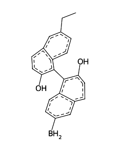 Bc1ccc2c(-c3c(O)ccc4cc(CC)ccc34)c(O)ccc2c1